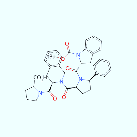 CC(C)(C)OC(=O)N1c2ccccc2C[C@@H]1C(=O)N1[C@@H](c2ccccc2)CC[C@H]1C(=O)N1Cc2ccccc2C[C@@H]1C(=O)N1CCCC1C(=O)O